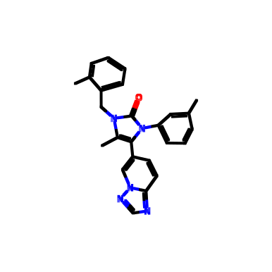 Cc1cccc(-n2c(-c3ccc4ncnn4c3)c(C)n(Cc3ccccc3C)c2=O)c1